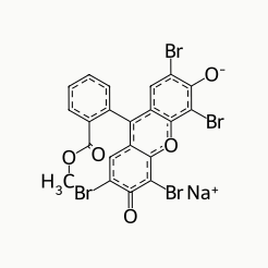 COC(=O)c1ccccc1-c1c2cc(Br)c(=O)c(Br)c-2oc2c(Br)c([O-])c(Br)cc12.[Na+]